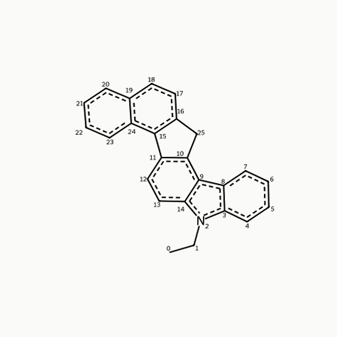 CCn1c2ccccc2c2c3c(ccc21)-c1c(ccc2ccccc12)C3